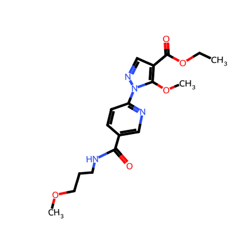 CCOC(=O)c1cnn(-c2ccc(C(=O)NCCCOC)cn2)c1OC